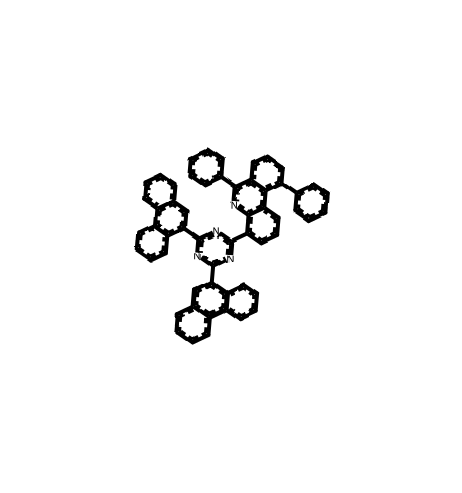 c1ccc(-c2nc3c(-c4nc(-c5cc6ccccc6c6ccccc56)nc(-c5cc6ccccc6c6ccccc56)n4)cccc3c3c(-c4ccccc4)cccc23)cc1